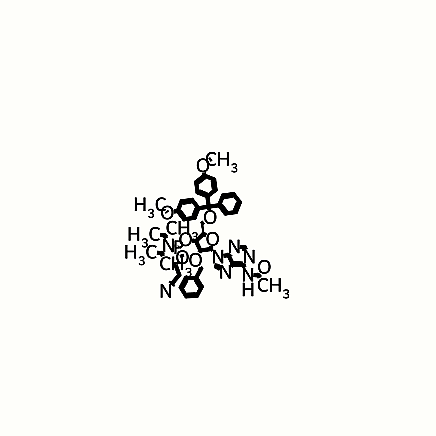 COc1ccc(C(OC[C@H]2O[C@@H](n3cnc4c(NC(C)=O)ncnc43)C(OCc3ccccc3)C2OP(OCCC#N)N(C(C)C)C(C)C)(c2ccccc2)c2ccc(OC)cc2)cc1